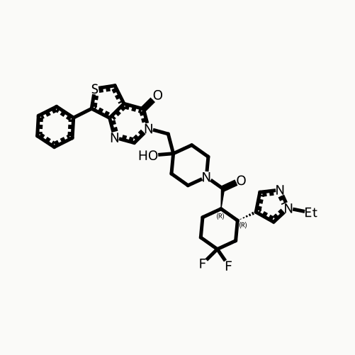 CCn1cc([C@@H]2CC(F)(F)CC[C@H]2C(=O)N2CCC(O)(Cn3cnc4c(-c5ccccc5)scc4c3=O)CC2)cn1